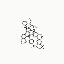 C=C/C=C(\C=C(\C)N1c2cc3c(cc2N2B(c4ccc(C(C)(C)C)cc4)c4c(ccc5ccccc45)-c4cc(-c5ccccc5C)cc1c42)-c1cc2c(cc1C1CC31)C(C)(C)CCC2(C)C)N1C(=O)CCC1=O